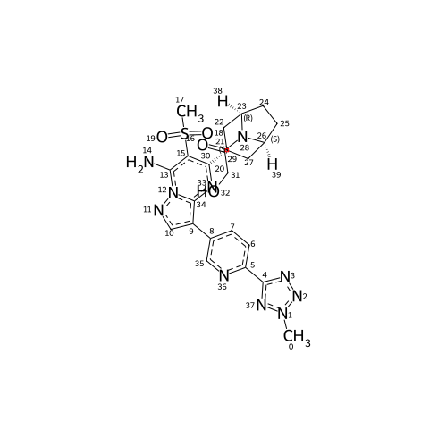 Cn1nnc(-c2ccc(-c3cnn4c(N)c(S(C)(=O)=O)c([C@@H]5C[C@H]6CC[C@@H](C5)N6C(=O)CO)nc34)cn2)n1